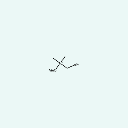 CCCC[N+](C)(C)OC